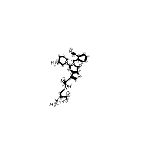 CC[C@H](CNC(=O)c1csc2c(=O)n(Cc3ccccc3C#N)c(N3CCCC(N)C3)nc12)C(=O)O